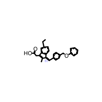 CCc1ccc2c(c1)C(CC(=O)O)=C(C)/C2=C/c1ccc(COc2ccccc2)cc1